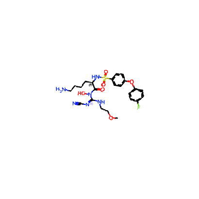 COCCN/C(=N/C#N)N(O)C(=O)[C@@H](CCCCN)NS(=O)(=O)c1ccc(Oc2ccc(F)cc2)cc1